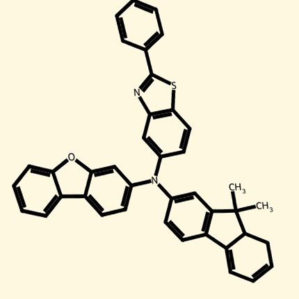 CC1(C)c2cc(N(c3ccc4sc(-c5ccccc5)nc4c3)c3ccc4c(c3)oc3ccccc34)ccc2C2=CC=CCC21